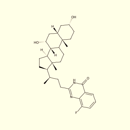 C[C@H](CCc1nc2c(F)cccc2c(=O)[nH]1)[C@H]1CC[C@H]2[C@H]3C(CC[C@]12C)[C@@]1(C)CC[C@@H](O)C[C@H]1C[C@H]3O